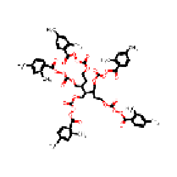 Cc1ccc(C(=O)OOC(=O)OCCC(COC(=O)OOC(=O)c2ccc(C)cc2C)C(COC(=O)OOC(=O)c2ccc(C)cc2C)C(CCOC(=O)OOC(=O)c2ccc(C)cc2C)COC(=O)OOC(=O)c2ccc(C)cc2C)c(C)c1